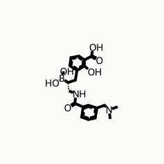 CN(C)Cc1cccc(C(=O)NC[C@@H](Cc2cccc(C(=O)O)c2O)B(O)O)c1